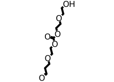 O=CCCOCCOC(=O)OCCOCCO